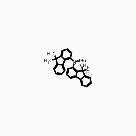 CC1(C)c2ccccc2-c2c(N(c3cccc4c3C(C)(C)c3ccccc3-4)C(C)(C)C)cccc21